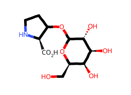 O=C(O)[C@H]1NCCC1OC1O[C@H](CO)[C@H](O)[C@H](O)[C@H]1O